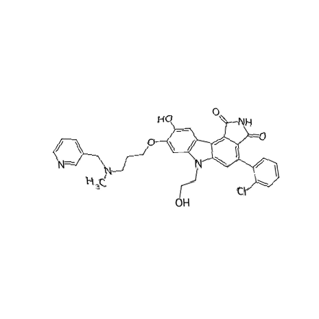 CN(CCCOc1cc2c(cc1O)c1c3c(c(-c4ccccc4Cl)cc1n2CCO)C(=O)NC3=O)Cc1cccnc1